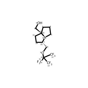 OC[C@@]12CCCN1[C@H](COC(C(F)(F)F)(C(F)(F)F)C(F)(F)F)CC2